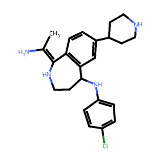 C/C(N)=C1/NCCC(Nc2ccc(Cl)cc2)c2cc(C3CCNCC3)ccc21